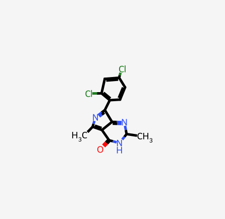 CC1=C2C(=O)NC(C)N=C2C(c2ccc(Cl)cc2Cl)=N1